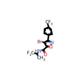 CC(NC(=O)c1onc(-c2ccc(C(F)(F)F)cc2)c1Br)C(F)(F)F